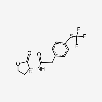 O=C(Cc1ccc(SC(F)(F)F)cc1)N[C@@H]1CCOC1=O